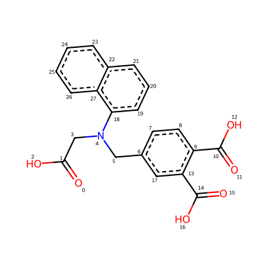 O=C(O)CN(Cc1ccc(C(=O)O)c(C(=O)O)c1)c1cccc2ccccc12